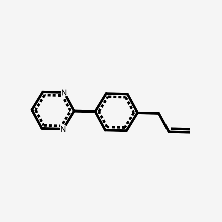 C=CCc1ccc(-c2ncccn2)cc1